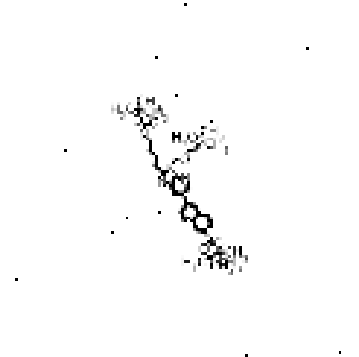 CC(C)(C)OC(=O)NCCCCc1nc2cc(-c3ccc4cc(B5OC(C)(C)C(C)(C)O5)ccc4c3)cnc2n1COCC[Si](C)(C)C